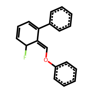 FC1C=CC=C(c2ccccc2)C1=COc1ccccc1